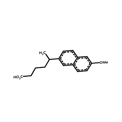 COc1ccc2cc(C(C)CCCC(=O)O)ccc2c1